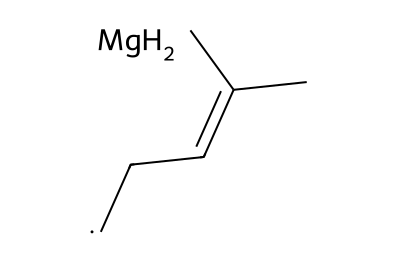 [CH2]CC=C(C)C.[MgH2]